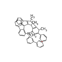 CC1C(c2ccccc2)=CC2(C)C3=C1C(C)C1=C(C3C)C3(c4ccccc41)c1ccccc1-c1cccc(c13)N2c1cccc(-c2ccccc2)c1